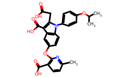 Cc1ccc(C(=O)O)c(Oc2ccc3c(c2)c(C(=O)O)c(CC(=O)O)n3-c2ccc(OC(C)C)cc2)n1